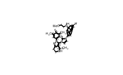 COCCN(C(C)=O)C12C3C4C35C1C13C2[C@H]1C4(n1ccn(-c2c4c(nn2-c2cc(C)c(F)c(C)c2)CCN[C@H]4C)c1=O)C53